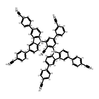 N#Cc1ccc(-c2ccc3c(c2)c2cc(-c4ccc(C#N)cc4)ccc2n3-c2cc(-c3cccc(C#N)c3)cc(-n3c4ccc(-c5ccc(C#N)cc5)cc4c4cc(-c5ccc(C#N)cc5)ccc43)c2C#N)cc1